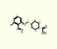 Cc1cccc(OC[C@H]2CC[C@@H](C(=O)O)CC2)c1C=O